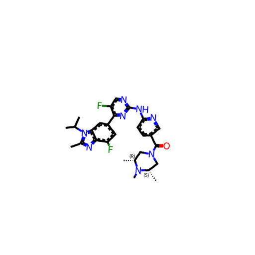 Cc1nc2c(F)cc(-c3nc(Nc4ccc(C(=O)N5C[C@@H](C)N(C)[C@@H](C)C5)cn4)ncc3F)cc2n1C(C)C